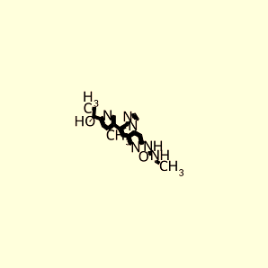 CCNC(=O)Nc1cc2c(cn1)cc(-c1cnc([C@H](O)CC)cc1C)c1nccn12